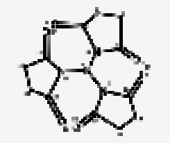 O=C1CCC(=O)N1N(N1C(=O)CCC1=O)N1C(=O)CCC1=O